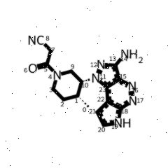 C[C@@H]1CCN(C(=O)CC#N)C[C@@H]1n1nc(N)c2nnc3[nH]ccc3c21